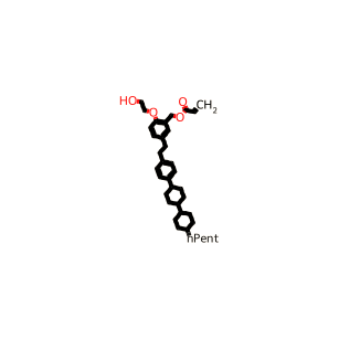 C=CC(=O)OCc1cc(CCc2ccc(C3CCC(C4CCC(CCCCC)CC4)CC3)cc2)ccc1OCCO